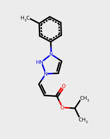 Cc1cccc(N2C=CN(/C=C\C(=O)OC(C)C)N2)c1